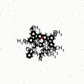 COc1ccc(C(OCC2[C@@H](OP(OCCC#N)N(C(C)C)C(C)C)CN(C(=O)CCN3C(=O)c4ccccc4C3=O)[C@@H]2COC(c2ccccc2)(c2ccc(OC)cc2)c2ccc(OC)cc2)(c2ccccc2)c2ccc(OC)cc2)cc1